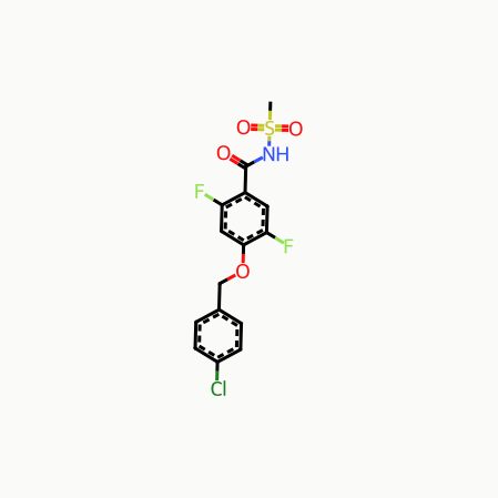 CS(=O)(=O)NC(=O)c1cc(F)c(OCc2ccc(Cl)cc2)cc1F